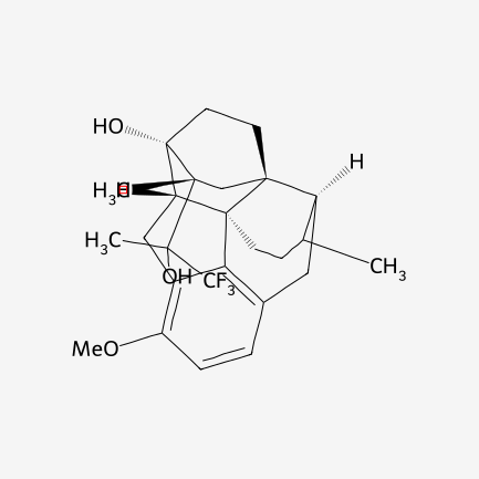 COc1ccc2c3c1C[C@@]1(C)[C@]34CCC(C)[C@H](C2)[C@]42CC[C@@]1(O)[C@@H](C(C)(O)C(F)(F)F)C2